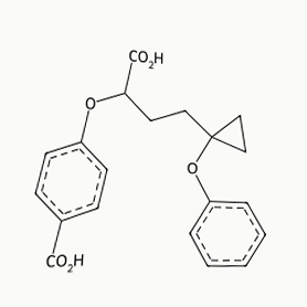 O=C(O)c1ccc(OC(CCC2(Oc3ccccc3)CC2)C(=O)O)cc1